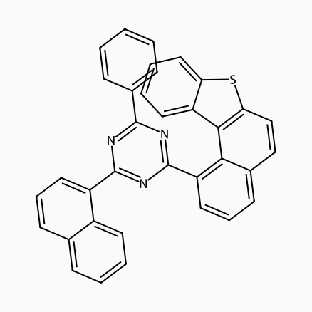 c1ccc(-c2nc(-c3cccc4ccccc34)nc(-c3cccc4ccc5sc6ccccc6c5c34)n2)cc1